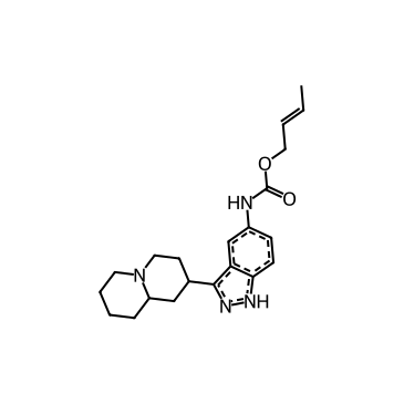 CC=CCOC(=O)Nc1ccc2[nH]nc(C3CCN4CCCCC4C3)c2c1